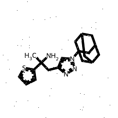 CC(N)(Cc1cn(C23CC4CC(CC(C4)C2)C3)nn1)c1cccs1